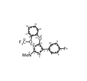 CNc1nc(-c2ccc(F)cc2)c(Oc2ccccc2OC(F)(F)F)s1